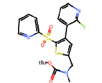 CN(Cc1cc(-c2cccnc2F)c(S(=O)(=O)c2ccccn2)s1)C(=O)OC(C)(C)C